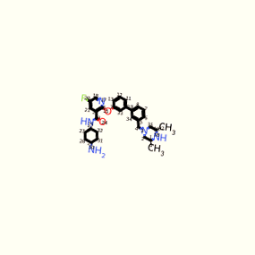 C[C@@H]1CN(Cc2cccc(-c3cccc(Oc4ncc(F)cc4C(=O)N[C@H]4CC[C@H](N)CC4)c3)c2)C[C@H](C)N1